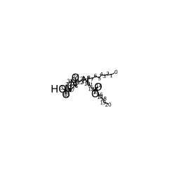 CCCCCCCCCN(CCCC(=O)OCCCCC)CCC(=O)N1CCN(C(=O)O)CC1